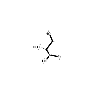 CCN(N)[C@@H](CO)C(=O)O